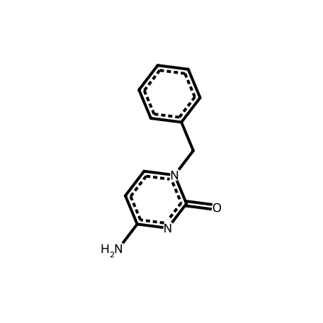 Nc1ccn(Cc2ccccc2)c(=O)n1